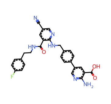 N#Cc1cnc(NCc2ccc(-c3cnc(N)c(C(=O)O)c3)cc2)c(C(=O)NCCc2ccc(F)cc2)c1